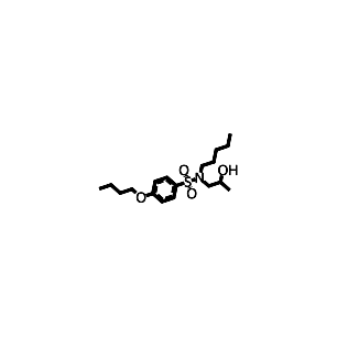 CCCCCN(CC(C)O)S(=O)(=O)c1ccc(OCCCC)cc1